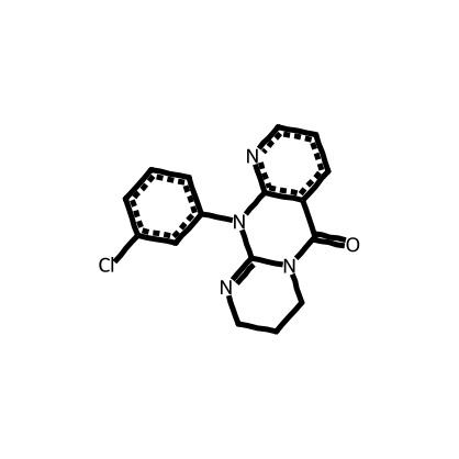 O=C1c2cccnc2N(c2cccc(Cl)c2)C2=NCCCN12